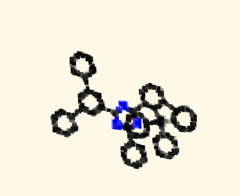 c1ccc(-c2cc(-c3ccccc3)cc(-c3nc(-c4ccccc4)nc(-c4cccc5c4[Si](c4ccccc4)(c4ccccc4)c4ccccc4-5)n3)c2)cc1